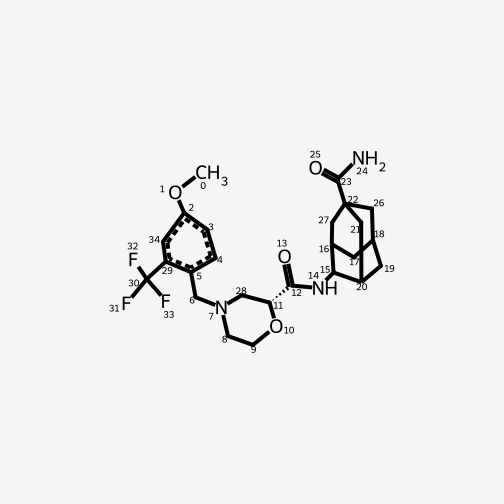 COc1ccc(CN2CCO[C@@H](C(=O)NC3C4CC5CC3CC(C(N)=O)(C5)C4)C2)c(C(F)(F)F)c1